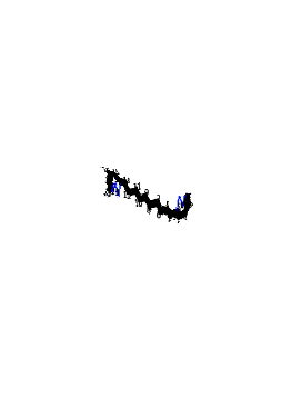 c1ccc(CCCCCCCCCCc2ccccn2)nc1